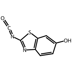 O=C=Nc1nc2ccc(O)cc2s1